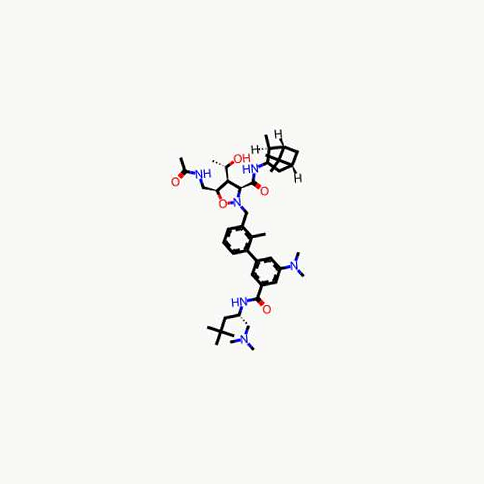 CC(=O)NC[C@@H]1ON(Cc2cccc(-c3cc(C(=O)N[C@H](CN(C)C)CC(C)(C)C)cc(N(C)C)c3)c2C)[C@H](C(=O)NC2C[C@H]3C[C@@H]([C@@H]2C)C3(C)C)[C@@H]1[C@H](C)O